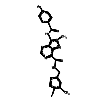 CC(=O)c1ccc(C(=O)Nc2c3ncnc(C(=O)NCc4ccc(F)c(C)c4)c3nn2C)cc1